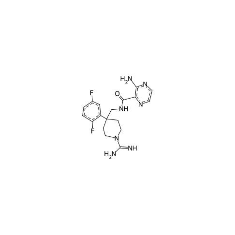 N=C(N)N1CCC(CNC(=O)c2nccnc2N)(c2cc(F)ccc2F)CC1